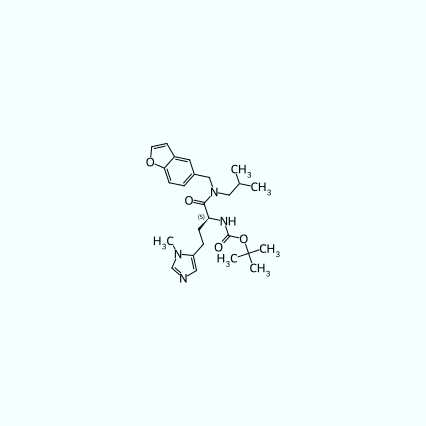 CC(C)CN(Cc1ccc2occc2c1)C(=O)[C@H](CCc1cncn1C)NC(=O)OC(C)(C)C